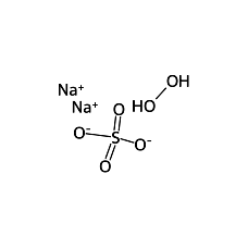 O=S(=O)([O-])[O-].OO.[Na+].[Na+]